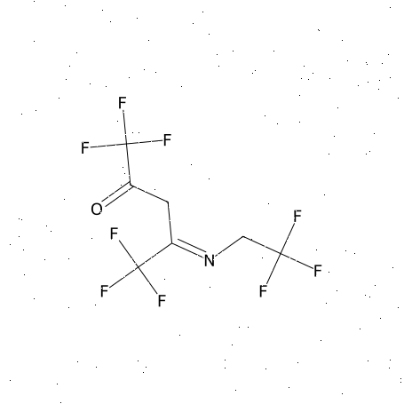 O=C(C/C(=N\CC(F)(F)F)C(F)(F)F)C(F)(F)F